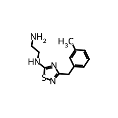 Cc1cccc(Cc2nsc(NCCN)n2)c1